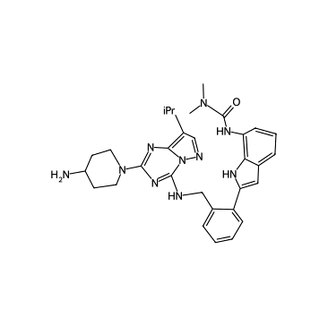 CC(C)c1cnn2c(NCc3ccccc3-c3cc4cccc(NC(=O)N(C)C)c4[nH]3)nc(N3CCC(N)CC3)nc12